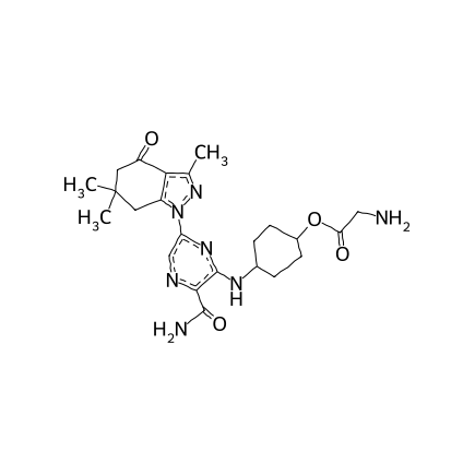 Cc1nn(-c2cnc(C(N)=O)c(NC3CCC(OC(=O)CN)CC3)n2)c2c1C(=O)CC(C)(C)C2